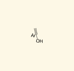 C#CO.[Ar]